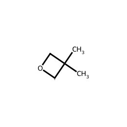 CC1(C)[CH]OC1